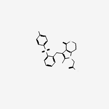 Cc1c(Cc2ccccc2S(=O)(=O)c2ccc(F)cc2)c2c(n1CC(=O)O)CCNC2=O